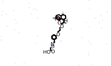 C[C@H]1[C@@H](OCCCOc2cccc(/C=N/OCC(=O)O)c2)O[C@@H]2O[C@@]3(C)CCC4[C@H](C)CC[C@@H]1[C@]42OO3